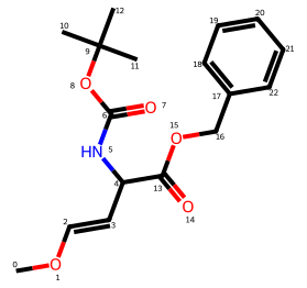 CO/C=C/C(NC(=O)OC(C)(C)C)C(=O)OCc1ccccc1